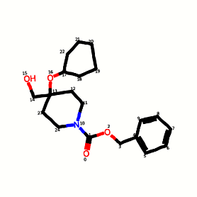 O=C(OCc1ccccc1)N1CCC(CO)(OC2CCCCC2)CC1